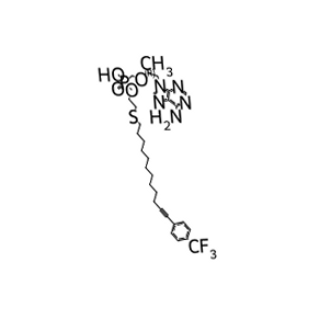 C[C@H](Cn1cnc2c(N)ncnc21)OCP(=O)(O)OCCSCCCCCCCCCCC#Cc1ccc(C(F)(F)F)cc1